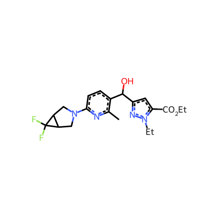 CCOC(=O)c1cc(C(O)c2ccc(N3CC4C(C3)C4(F)F)nc2C)nn1CC